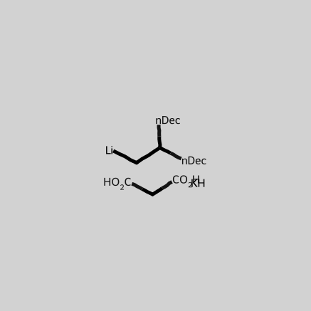 O=C(O)CC(=O)O.[KH].[Li][CH2]C(CCCCCCCCCC)CCCCCCCCCC